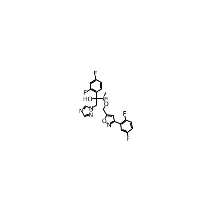 C[C@@H](OCc1cc(-c2cc(F)ccc2F)no1)C(O)(Cn1cncn1)c1ccc(F)cc1F